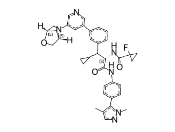 Cc1cnn(C)c1-c1ccc(NC(=O)[C@@H](NC(=O)C2(F)CC2)C(c2cccc(-c3cncc(N4C[C@@H]5C[C@H]4CO5)c3)c2)C2CC2)cc1